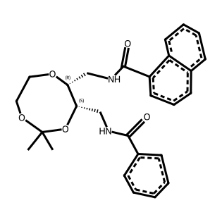 CC1(C)OCCO[C@H](CNC(=O)c2cccc3ccccc23)[C@H](CNC(=O)c2ccccc2)O1